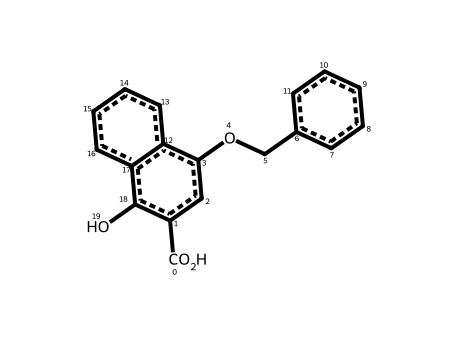 O=C(O)c1cc(OCc2ccccc2)c2ccccc2c1O